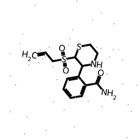 C=CCS(=O)(=O)C1SCCNC1c1ccccc1C(N)=O